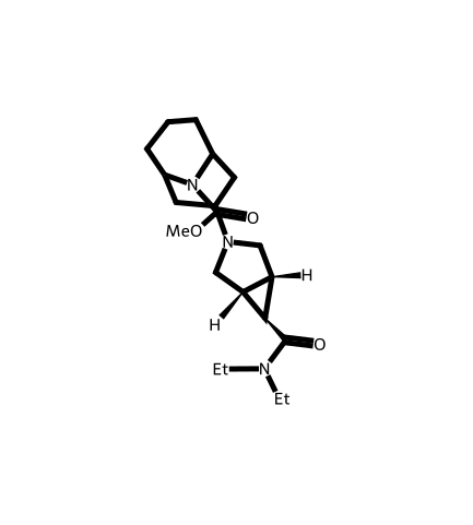 CCN(CC)C(=O)[C@H]1[C@@H]2CN(C3CC4CCCC(C3)N4C(=O)OC)C[C@@H]21